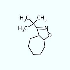 CC(C)(C)C1=NOC2CCCCCC12